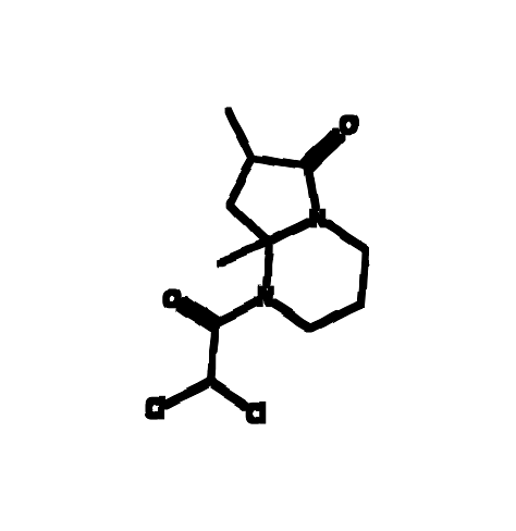 CC1CC2(C)N(C(=O)C(Cl)Cl)CCCN2C1=O